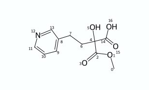 COC(=O)C(O)(CCc1cccnc1)C(=O)O